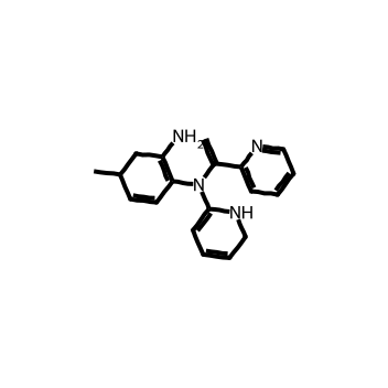 C=C(c1ccccn1)N(C1=CC=CCN1)C1=C(N)CC(C)C=C1